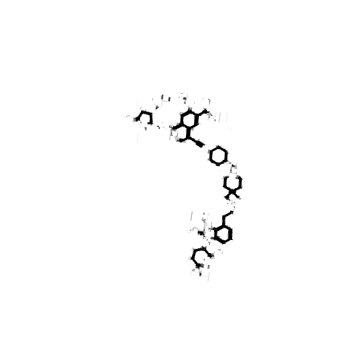 CC[C@@H]1[C@H](F)C(=O)N[C@@H]1COc1ncc(C#C[C@H]2CC[C@H](CN3CCC4(CC3)CN(CCc3cccc5c3n(C)c(=O)n5C3CCC(=O)NC3=O)C4)CC2)c2cc(C(N)=O)c(OC)cc12